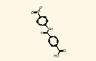 O=C(O)c1ccc(C(=O)Nc2ccc([N+](=O)[O-])cc2)cc1